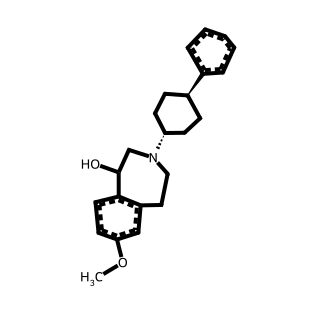 COc1ccc2c(c1)CCN([C@H]1CC[C@H](c3ccccc3)CC1)CC2O